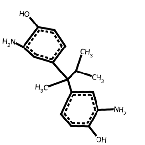 CC(C)C(C)(c1ccc(O)c(N)c1)c1ccc(O)c(N)c1